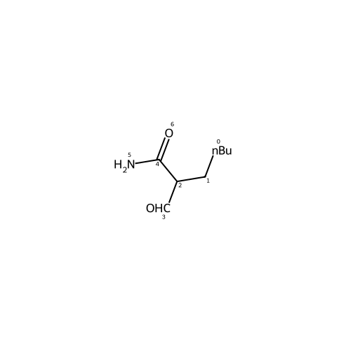 CCCCCC(C=O)C(N)=O